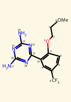 COCCOc1ccc(C(F)(F)F)cc1-c1nc(N)nc(N)n1